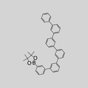 CC1(C)OB(c2cccc(-c3cccc(-c4cccc(-c5cccc(-c6cccc(-c7ccccc7)c6)c5)c4)c3)c2)OC1(C)C